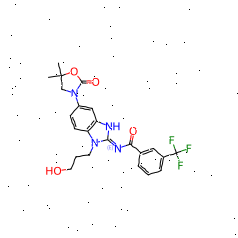 CC1(C)CN(c2ccc3c(c2)[nH]/c(=N\C(=O)c2cccc(C(F)(F)F)c2)n3CCCO)C(=O)O1